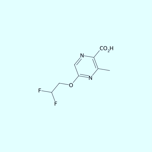 Cc1nc(OCC(F)F)cnc1C(=O)O